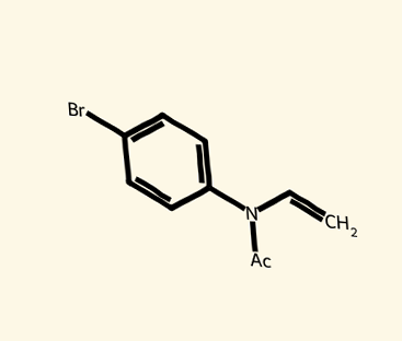 C=CN(C(C)=O)c1ccc(Br)cc1